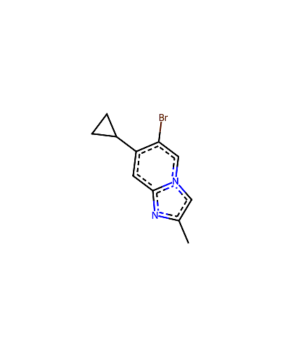 Cc1cn2cc(Br)c(C3CC3)cc2n1